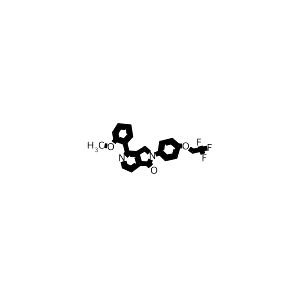 COc1ccccc1-c1nccc2c1CN(c1ccc(OCC(F)(F)F)cc1)C2=O